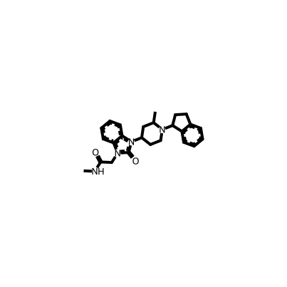 CNC(=O)Cn1c(=O)n(C2CCN(C3CCc4ccccc43)C(C)C2)c2ccccc21